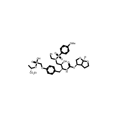 CCOC(=O)[C@H](C)OP(=O)(O)COc1ccc(C[C@H](NC(=O)O[C@H]2CO[C@H]3OCCC32)[C@H](O)CN(CC(C)C)S(=O)(=O)c2ccc(OC)cc2)cc1